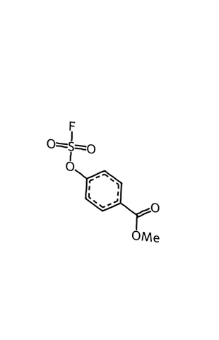 COC(=O)c1ccc(OS(=O)(=O)F)cc1